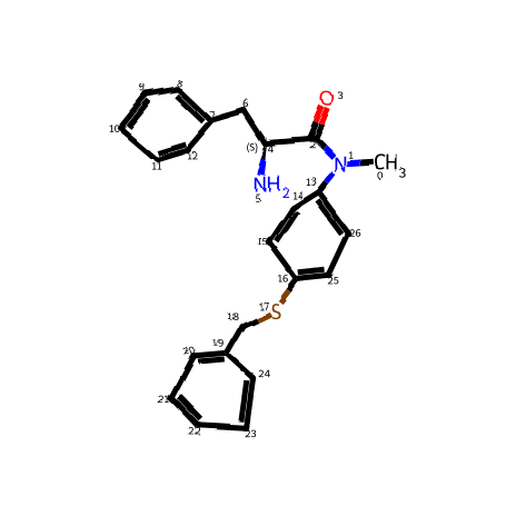 CN(C(=O)[C@@H](N)Cc1ccccc1)c1ccc(SCc2ccccc2)cc1